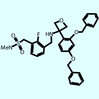 CNS(=O)(=O)Cc1cccc(CNC2(c3ccc(OCc4ccccc4)cc3OCc3ccccc3)COC2)c1F